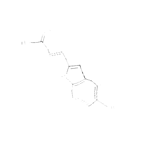 Cc1ccc2[nH]c(/C=C/C(=O)O)cc2c1